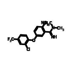 CN(C)C(=N)c1cc(Oc2ccc(C(F)(F)F)cc2Cl)ccc1[N+](=O)[O-]